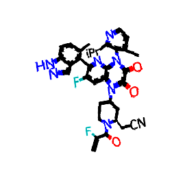 C=C(F)C(=O)N1CCC(n2c(=O)c(=O)n(-c3c(C)ccnc3C(C)C)c3nc(-c4c(C)ccc5[nH]ncc45)c(F)cc32)C[C@H]1CC#N